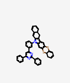 C1=CCC2Sc3cc4c(cc3SC2=C1)c1c(n4-c2cccc(-c3cc(-c4ccccc4)nc(-c4ccccc4)n3)c2)C=C2C=CC=CC2C1